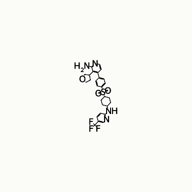 Nc1nccc(-c2ccc(S(=O)(=O)[C@H]3CC[C@H](Nc4ccc(C(F)(F)F)cn4)CC3)cc2)c1C1CCOC1